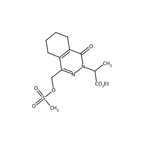 CCOC(=O)C(C)n1nc(COS(C)(=O)=O)c2c(c1=O)CCCC2